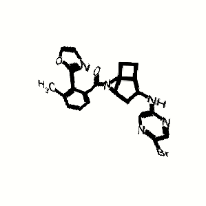 Cc1cccc(C(=O)N2C3CC(Nc4cnc(Br)cn4)C4CCC432)c1-c1ncco1